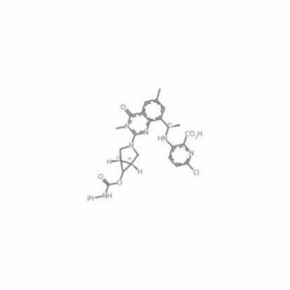 Cc1cc([C@@H](C)Nc2ccc(Cl)nc2C(=O)O)c2nc(N3C[C@@H]4C(OC(=O)NC(C)C)[C@@H]4C3)n(C)c(=O)c2c1